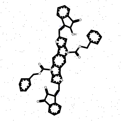 O=C1C(=O)c2ccccc2/C1=C/c1cc2c(s1)c1cc3c(cc1n2C(=O)OCc1ccccc1)c1sc(/C=C2/c4ccccc4C(=O)C2O)cc1n3C(=O)OCc1ccccc1